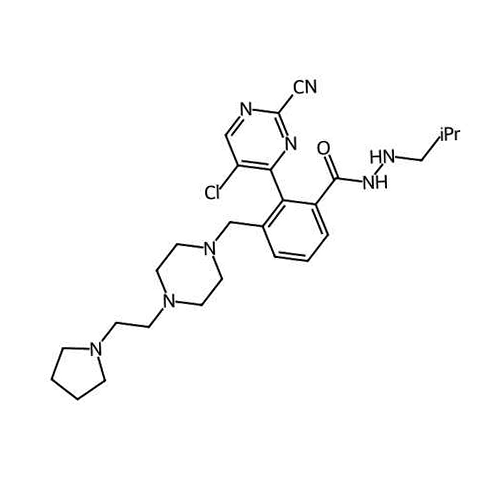 CC(C)CNNC(=O)c1cccc(CN2CCN(CCN3CCCC3)CC2)c1-c1nc(C#N)ncc1Cl